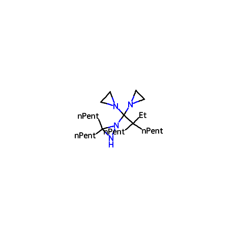 [CH2]CC(CCCCC)(CCCCC)C(N1CC1)(N1CC1)N1NC1(CCCCC)CCCCC